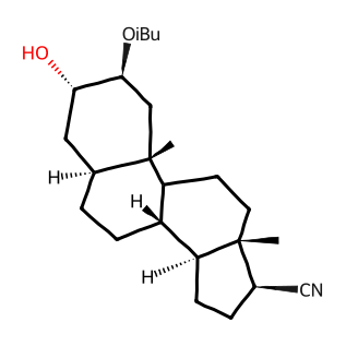 CC(C)CO[C@H]1C[C@]2(C)C3CC[C@]4(C)[C@@H](C#N)CC[C@H]4[C@@H]3CC[C@H]2C[C@@H]1O